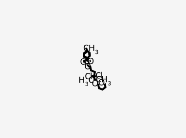 Cc1ccc(S(=O)(=O)OCCCC(Cl)(Cl)C(C)(C)OC2CCCCO2)cc1